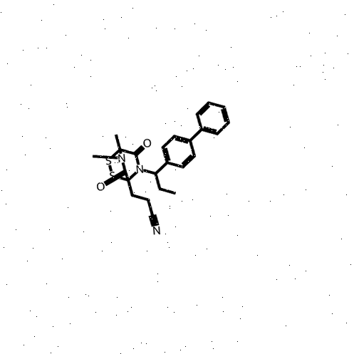 CCC(c1ccc(-c2ccccc2)cc1)N1C(=O)C2(C)SSC1(CCC#N)C(=O)N2C